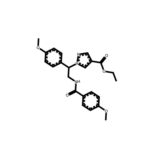 CCOC(=O)c1cnn(C(CNC(=O)c2ccc(OC)cc2)c2ccc(OC)cc2)c1